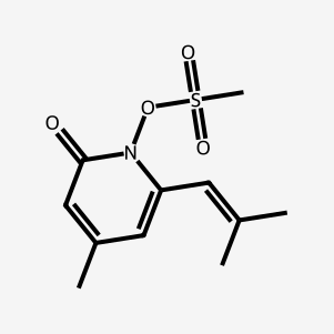 CC(C)=Cc1cc(C)cc(=O)n1OS(C)(=O)=O